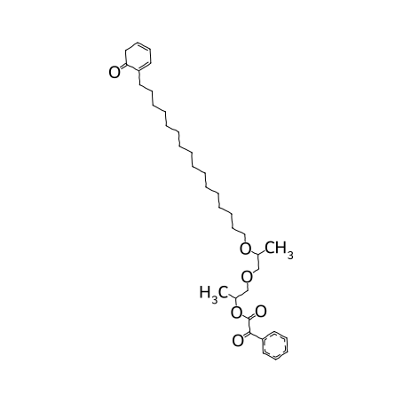 CC(COCC(C)OC(=O)C(=O)c1ccccc1)OCCCCCCCCCCCCCCCCC1=CC=CCC1=O